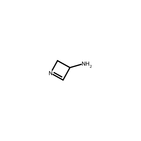 NC1C=NC1